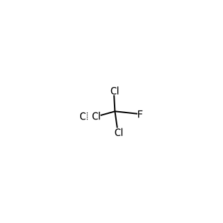 FC(Cl)(Cl)Cl.[C]